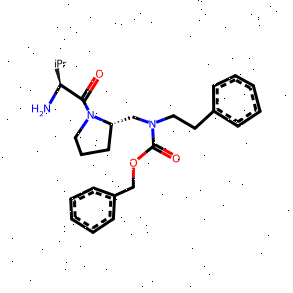 CC(C)[C@H](N)C(=O)N1CCC[C@H]1CN(CCc1ccccc1)C(=O)OCc1ccccc1